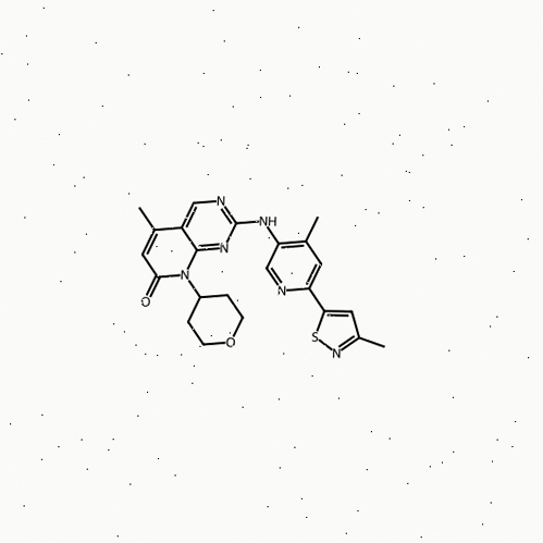 Cc1cc(-c2cc(C)c(Nc3ncc4c(C)cc(=O)n(C5CCOCC5)c4n3)cn2)sn1